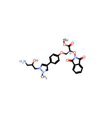 C[n+]1cc(-c2ccc(OC[C@H](ON3C(=O)c4ccccc4C3=O)C(=O)OC(C)(C)C)cc2)cn1CC(O)CN